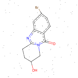 O=c1c2ccc(Br)cc2nc2n1CC(O)CC2